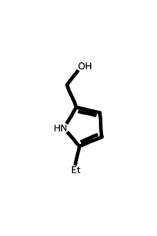 CCc1ccc(CO)[nH]1